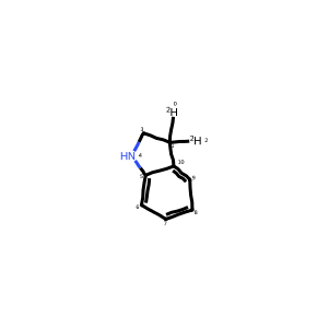 [2H]C1([2H])CNc2ccccc21